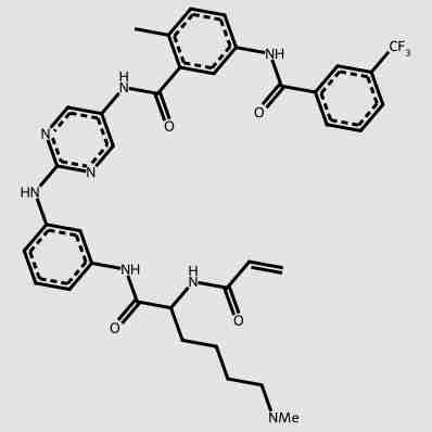 C=CC(=O)NC(CCCCNC)C(=O)Nc1cccc(Nc2ncc(NC(=O)c3cc(NC(=O)c4cccc(C(F)(F)F)c4)ccc3C)cn2)c1